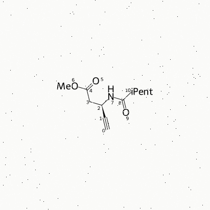 C#C[C@@H](CC(=O)OC)NC(=O)C(C)CCC